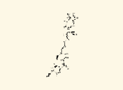 O=C(NCCCCC1CCN(C(=O)c2ccc(F)cn2)CC1)c1ccc2nccn2c1